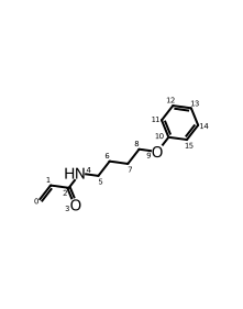 C=CC(=O)NCCCCOc1ccccc1